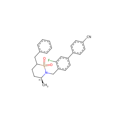 C[C@H]1CCC(Cc2ccccc2)S(=O)(=O)N1Cc1ccc(-c2ccc(C#N)cc2)cc1F